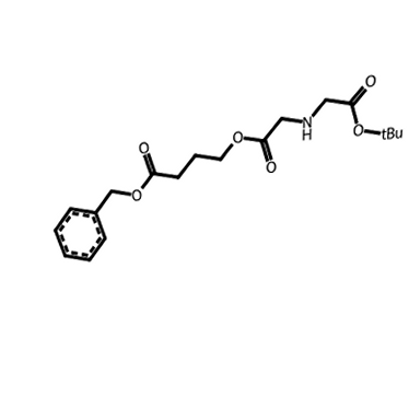 CC(C)(C)OC(=O)CNCC(=O)OCCCC(=O)OCc1ccccc1